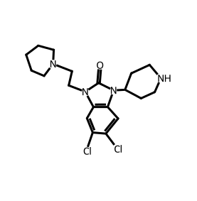 O=c1n(CCN2CCCCC2)c2cc(Cl)c(Cl)cc2n1C1CCNCC1